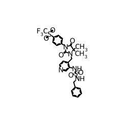 CC1(C)C(=O)N(c2ccc(S(=O)(=O)C(F)(F)F)cc2)C(=O)N1Cc1ccncc1NS(=O)(=O)NCc1ccccc1